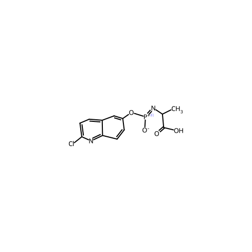 CC(/N=[P+](\[O-])Oc1ccc2nc(Cl)ccc2c1)C(=O)O